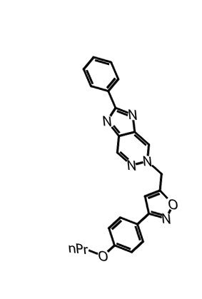 CCCOc1ccc(-c2cc(Cn3cc4nc(-c5ccccc5)nc-4cn3)on2)cc1